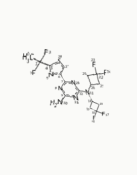 CC(F)(F)c1nc(-c2nc(N)nc(N(C3CC(F)(F)C3)C3CC(F)(F)C3)n2)cs1